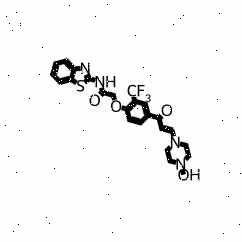 O=C(COc1ccc(C(=O)C=CN2CCN(O)CC2)cc1C(F)(F)F)Nc1nc2ccccc2s1